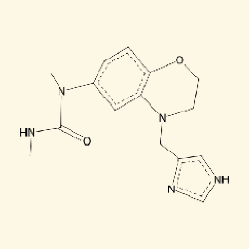 CNC(=O)N(C)c1ccc2c(c1)N(Cc1c[nH]cn1)CCO2